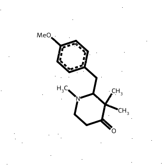 COc1ccc(CC2N(C)CCC(=O)C2(C)C)cc1